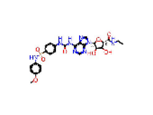 CCNC(=O)[C@H]1O[C@@H](n2cnc3c(NC(=O)Nc4ccc(S(=O)(=O)Nc5ccc(OC)cc5)cc4)ncnc32)C(O)C1O